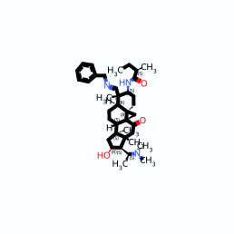 CC[C@H](C)C(=O)N[C@H]1CC[C@]23C[C@]24C(=O)C[C@]2(C)[C@@H]([C@H](C)N(C)C)[C@H](O)C[C@@]2(C)[C@@H]4CC[C@H]3[C@]1(C)C=NCc1ccccc1